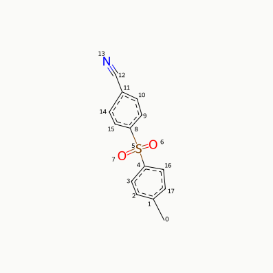 Cc1ccc(S(=O)(=O)c2ccc(C#N)cc2)cc1